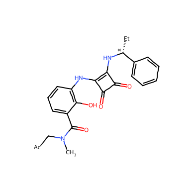 CC[C@@H](Nc1c(Nc2cccc(C(=O)N(C)CC(C)=O)c2O)c(=O)c1=O)c1ccccc1